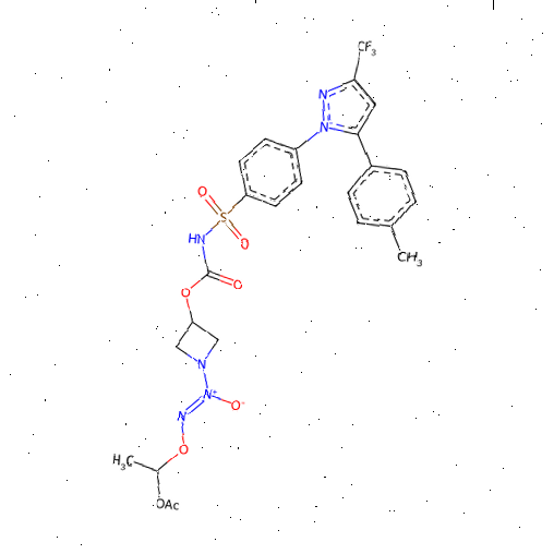 CC(=O)OC(C)O/N=[N+](\[O-])N1CC(OC(=O)NS(=O)(=O)c2ccc(-n3nc(C(F)(F)F)cc3-c3ccc(C)cc3)cc2)C1